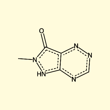 Cn1[nH]c2ncnnc2c1=O